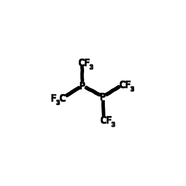 FC(F)(F)P(P(C(F)(F)F)C(F)(F)F)C(F)(F)F